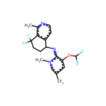 Cc1nccc2c1C(F)(F)CCC2/N=c1/c(OC(F)F)cc(C(F)(F)F)cn1C